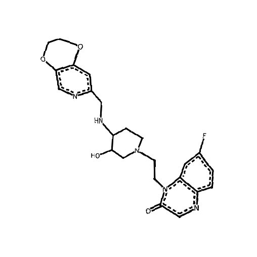 O=c1cnc2ccc(F)cc2n1CCN1CCC(NCc2cc3c(cn2)OCCO3)C(O)C1